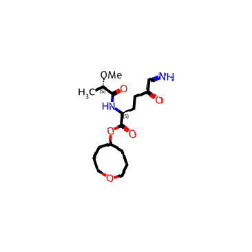 CO[C@@H](C)C(=O)N[C@@H](CCC(=O)C=N)C(=O)OC1CCCOCCC1